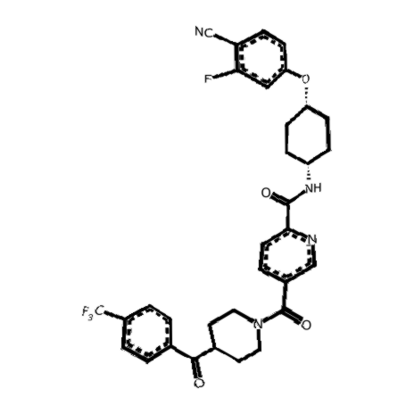 N#Cc1ccc(O[C@H]2CC[C@@H](NC(=O)c3ccc(C(=O)N4CCC(C(=O)c5ccc(C(F)(F)F)cc5)CC4)cn3)CC2)cc1F